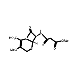 COC(=O)CC(=O)N[C@@H]1C(=O)N2C(C(=O)O)=C(OC)CS[C@H]12